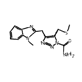 CSCc1c(Cc2nc3ccccc3n2C)nnn1C(N)=O